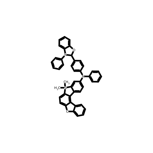 C[Si]1(C)c2cc(N(c3ccccc3)c3ccc(C4Oc5ccccc5N4c4ccccc4)cc3)ccc2-c2c1ccc1oc3ccccc3c21